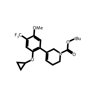 COc1cc(C2=CCCN(C(=O)OC(C)(C)C)C2)c(OC2CC2)cc1C(F)(F)F